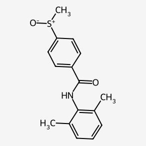 Cc1cccc(C)c1NC(=O)c1ccc([S+](C)[O-])cc1